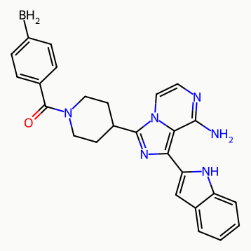 Bc1ccc(C(=O)N2CCC(c3nc(-c4cc5ccccc5[nH]4)c4c(N)nccn34)CC2)cc1